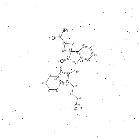 CC(C)C(=O)N1CC2(C1)C(=O)N(Cc1nc3c(n1CCCC(F)(F)F)CCCC3)c1ccccc12